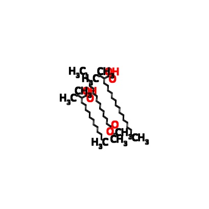 CCCCCCCCCCCCC(C(=O)O)C(C)C.CCCCCCCCCCCCCCCC(=O)OC(C)C.CCCCCCCCCCCCCCCCC(C(=O)O)C(C)C